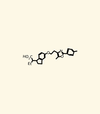 CCC(C(=O)O)C1CCc2cc(OCCc3nc(-c4ccc(C)cc4)oc3C)ccc21